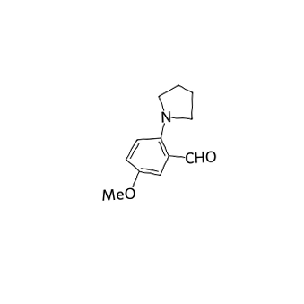 COc1ccc(N2CCCC2)c(C=O)c1